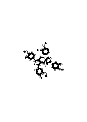 COc1ccc([C@@H]2O[C@H](c3ccc(O)c(C)c3)C(=O)[C@]23CCC2=C(C3)[C@@H](c3ccc(O)c(OC)c3)O[C@H]2c2ccc(O)c(C)c2)cc1O